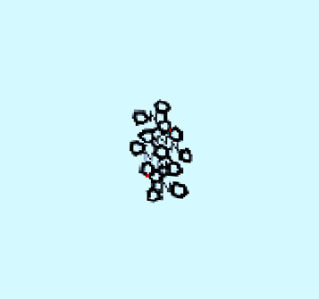 c1ccc(N(c2ccccc2)c2c3c4cccc5c6c7c(ccc6n(c3c(N(c3ccccc3)c3ccccc3)c3c6cccc8c9c%10c(ccc9n(c23)c68)c2ccccc2n%10-c2ccccc2)c45)c2ccccc2n7-c2ccccc2)cc1